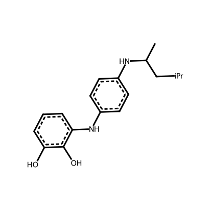 CC(C)CC(C)Nc1ccc(Nc2cccc(O)c2O)cc1